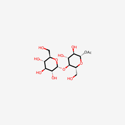 CC(=O)O[C@@H]1O[C@H](CO)[C@@H](O[C@H]2O[C@H](CO)[C@@H](O)[C@H](O)[C@H]2O)[C@H](O)[C@H]1O